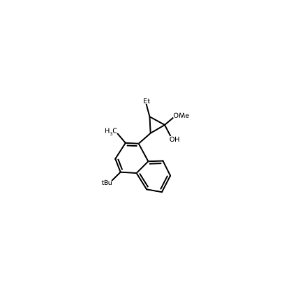 CCC1C(c2c(C)cc(C(C)(C)C)c3ccccc23)C1(O)OC